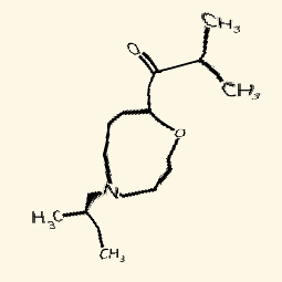 CC(C)C(=O)C1CCN(C(C)C)CCO1